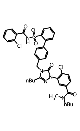 CCCCc1nn(-c2cc(C(=O)N(C)CCCC)ccc2Cl)c(=O)n1Cc1ccc(-c2ccccc2S(=O)(=O)NC(=O)c2ccccc2Cl)cc1